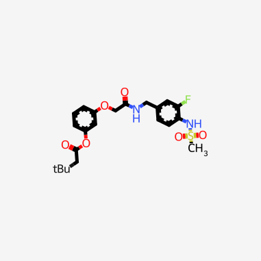 CC(C)(C)CC(=O)Oc1cccc(OCC(=O)NCc2ccc(NS(C)(=O)=O)c(F)c2)c1